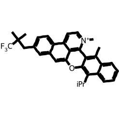 Cc1c2c(c(C(C)C)c3ccccc13)Oc1cc3cc(CC(C)(C)C(F)(F)F)ccc3c3cc[n+](C)c-2c13